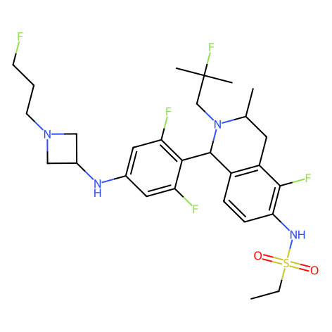 CCS(=O)(=O)Nc1ccc2c(c1F)CC(C)N(CC(C)(C)F)C2c1c(F)cc(NC2CN(CCCF)C2)cc1F